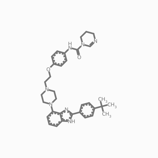 CC(C)(C)c1ccc(-c2nc3c(N4CCN(CCOc5ccc(NC(=O)N6C=NCCC6)cc5)CC4)cccc3[nH]2)cc1